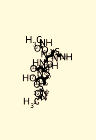 CNC(=O)ON=C(C(=O)NC1C(=O)N2C(C(=O)O)=C(CSc3nnc(C)o3)CS[C@@H]12)c1csc(=N)[nH]1